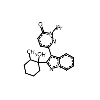 CC(C)n1nc(-c2c(C3(O)CCCCC3C)nn3ccccc23)ccc1=O